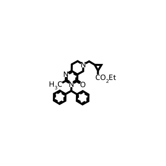 CCOC(=O)C1CC1CN1CCc2nc(C)n(C(c3ccccc3)c3ccccc3)c(=O)c2C1